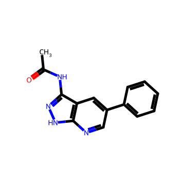 CC(=O)Nc1n[nH]c2ncc(-c3ccccc3)cc12